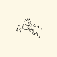 COC(=O)[C@@H](C)Oc1ncc(C(F)(F)F)cc1N